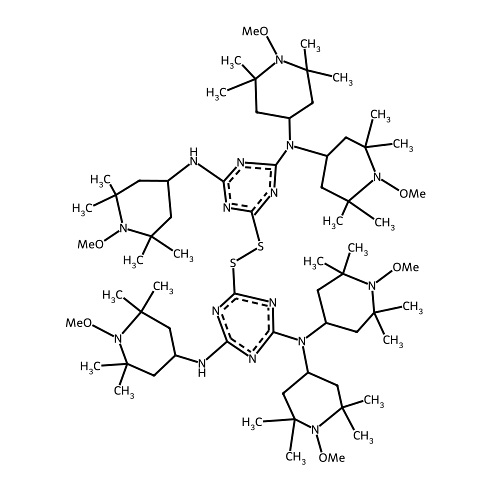 CON1C(C)(C)CC(Nc2nc(SSc3nc(NC4CC(C)(C)N(OC)C(C)(C)C4)nc(N(C4CC(C)(C)N(OC)C(C)(C)C4)C4CC(C)(C)N(OC)C(C)(C)C4)n3)nc(N(C3CC(C)(C)N(OC)C(C)(C)C3)C3CC(C)(C)N(OC)C(C)(C)C3)n2)CC1(C)C